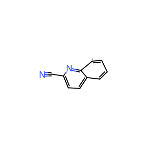 N#Cc1ccc2ccc[c]c2n1